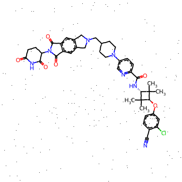 CC1(C)[C@H](NC(=O)c2ccc(N3CCC(CN4Cc5cc6c(cc5C4)C(=O)N(C4CCC(=O)NC4=O)C6=O)CC3)cn2)C(C)(C)[C@H]1Oc1ccc(C#N)c(Cl)c1